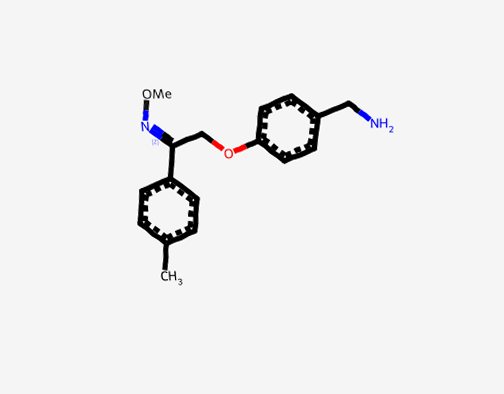 CO/N=C(\COc1ccc(CN)cc1)c1ccc(C)cc1